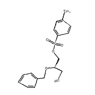 Cc1ccc(S(=O)(=O)OC[C@@H](CO)OCc2ccccc2)cc1